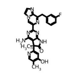 Cc1cnc([C@@]2(C)C(=O)Nc3nc(-c4cn5ccnc5c(Cc5cccc(F)c5)n4)nc(N)c32)cc1O